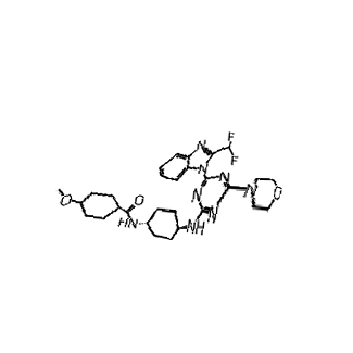 COC1CCC(C(=O)N[C@H]2CC[C@H](Nc3nc(N4CCOCC4)nc(-n4c(C(F)F)nc5ccccc54)n3)CC2)CC1